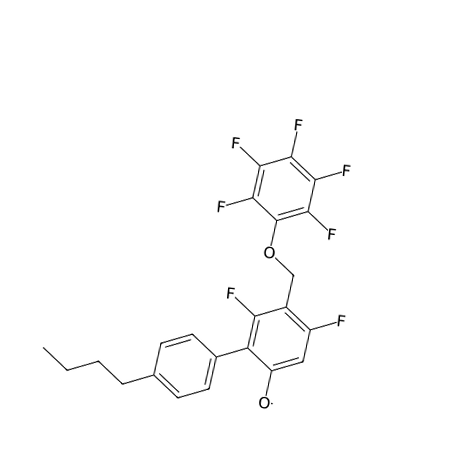 CCCCc1ccc(-c2c([O])cc(F)c(COc3c(F)c(F)c(F)c(F)c3F)c2F)cc1